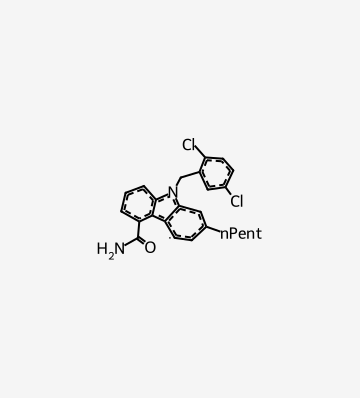 CCCCCc1c[c]c2c3c(C(N)=O)cccc3n(Cc3cc(Cl)ccc3Cl)c2c1